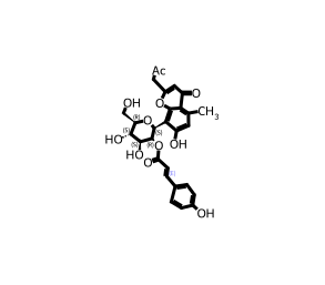 CC(=O)Cc1cc(=O)c2c(C)cc(O)c([C@@H]3O[C@H](CO)[C@@H](O)[C@H](O)[C@H]3OC(=O)/C=C/c3ccc(O)cc3)c2o1